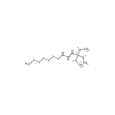 CCCCCCCNNN[Si](OC)(OC)OC